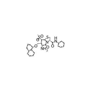 CS(=O)(=O)c1c(COc2cccc3ccccc23)c(N)c(=O)n2c1SC[C@H]2C(=O)Nc1ccccc1